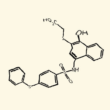 O=C(O)CSc1cc(NS(=O)(=O)c2ccc(Sc3ccccc3)cc2)c2ccccc2c1O